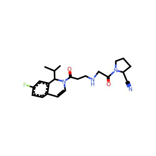 CC(C)C1c2cc(F)ccc2C=CN1C(=O)CCNCC(=O)N1CCCC1C#N